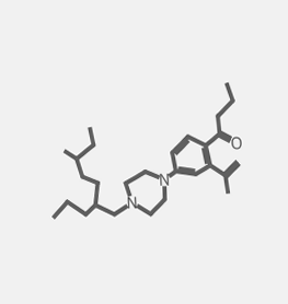 C=C(C)c1cc(N2CCN(CC(CCC)CCC(C)CC)CC2)ccc1C(=O)CCC